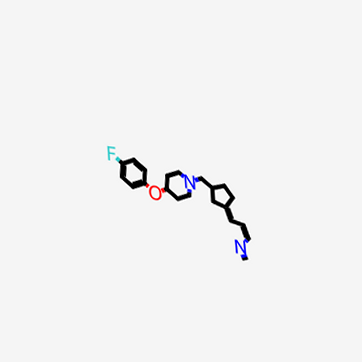 C=N/C=C\C=C1/CCC(CN2CCC(Oc3ccc(F)cc3)CC2)C1